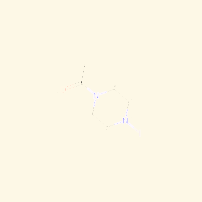 CC(=O)N1CCN(I)C[C@@H]1C